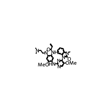 C=CC(=O)Nc1cc(Nc2ncc(OC)c(-n3c(=O)n(C)c4ccccc43)n2)c(OC)cc1N(C)CCN(C)C